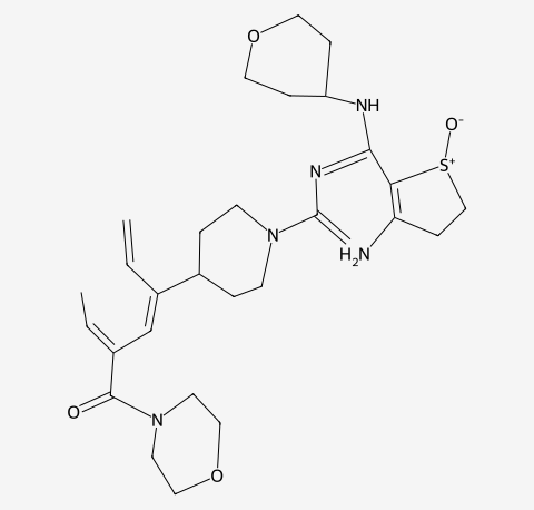 C=C/C(=C\C(=C/C)C(=O)N1CCOCC1)C1CCN(C(=C)/N=C(/NC2CCOCC2)C2=C(N)CC[S+]2[O-])CC1